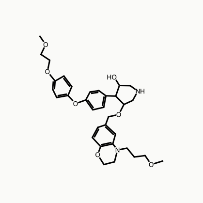 COCCCN1CCOc2ccc(COC3CNCC(O)C3c3ccc(Oc4ccc(OCCOC)cc4)cc3)cc21